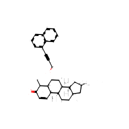 CC1C(=O)C=C[C@@]2(C)C1[C@H](OCC#Cc1cccc3ccccc13)C[C@H]1[C@@H]3CC(C=O)C[C@@]3(C)CC[C@@H]12